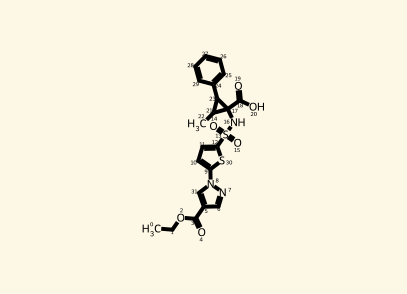 CCOC(=O)c1cnn(-c2ccc(S(=O)(=O)NC3(C(=O)O)C(C)C3c3ccccc3)s2)c1